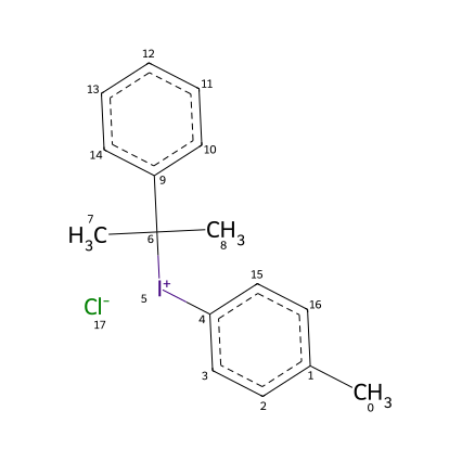 Cc1ccc([I+]C(C)(C)c2ccccc2)cc1.[Cl-]